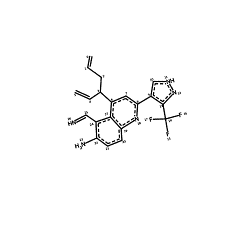 C=CCC(C=C)c1cc(-c2c[nH]nc2C(F)(F)F)nc2ccc(N)c(C=N)c12